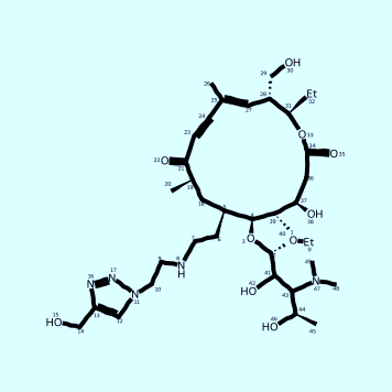 CCO[C@@H](O[C@H]1[C@@H](CCNCCn2cc(CO)nn2)C[C@@H](C)C(=O)/C=C/C(C)=C/[C@H](CO)[C@@H](CC)OC(=O)C[C@@H](O)[C@@H]1C)C(O)C([C@@H](C)O)N(C)C